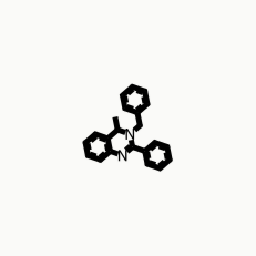 CC1c2ccccc2N=C(c2ccccc2)N1Cc1ccccc1